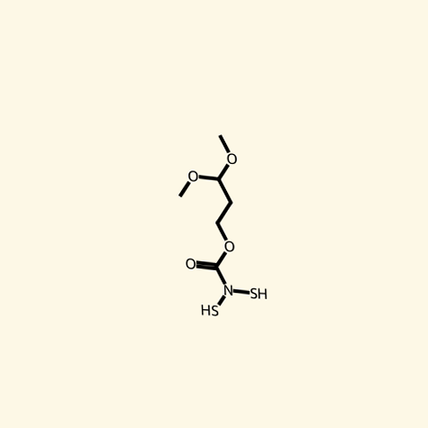 COC(CCOC(=O)N(S)S)OC